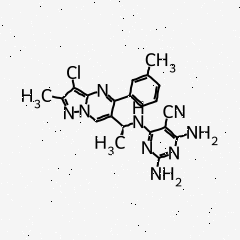 Cc1cccc(-c2nc3c(Cl)c(C)nn3cc2[C@H](C)Nc2nc(N)nc(N)c2C#N)c1